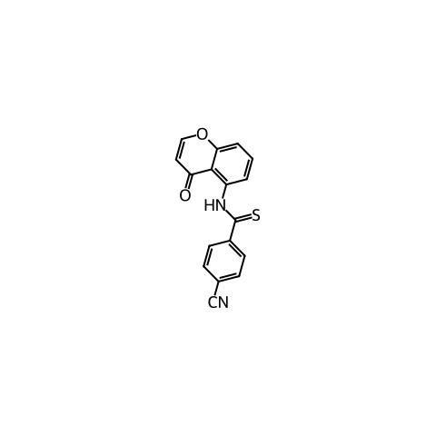 N#Cc1ccc(C(=S)Nc2cccc3occc(=O)c23)cc1